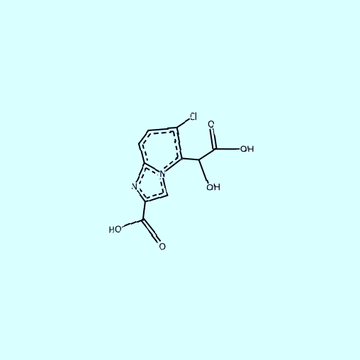 O=C(O)c1cn2c(C(O)C(=O)O)c(Cl)ccc2n1